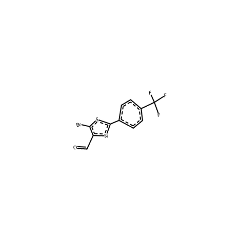 O=Cc1nc(-c2ccc(C(F)(F)F)cc2)sc1Br